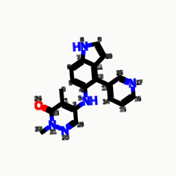 Cc1c(Nc2ccc3[nH]ccc3c2-c2cccnc2)cnn(C)c1=O